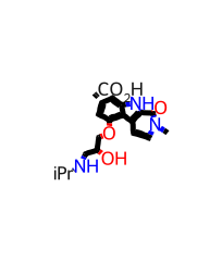 CC(=O)O.CC(C)NCC(O)COc1cccc2[nH]c3c(=O)n(C)ccc3c12